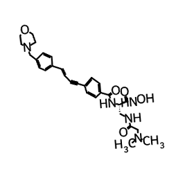 CN(C)CC(=O)NC[C@H](NC(=O)c1ccc(C#C/C=C/c2ccc(CN3CCOCC3)cc2)cc1)C(=O)NO